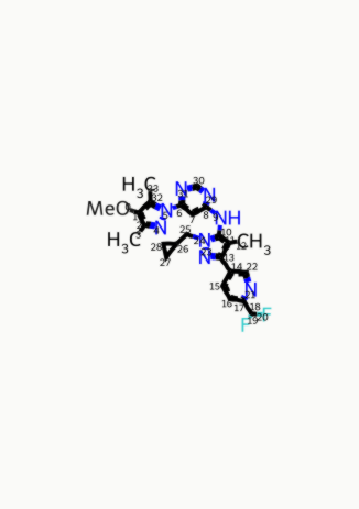 COc1c(C)nn(-c2cc(Nc3c(C)c(-c4ccc(C(F)F)nc4)nn3CC3CC3)ncn2)c1C